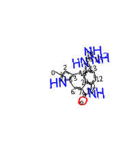 Cc1cc(C)c(C=C2C(=O)Nc3ccc(NC(=N)N)cc32)[nH]1